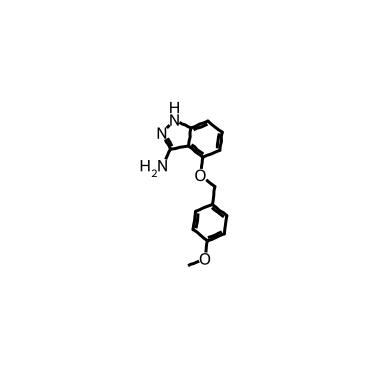 COc1ccc(COc2cccc3[nH]nc(N)c23)cc1